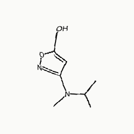 CC(C)N(C)c1cc(O)on1